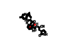 Cc1cncc(N[C@H](CC2CC2)C(=O)N2[C@@H]3CC[C@H]([C@H]2C(=O)N[C@H](C#N)C[C@H]2CCNC2=O)C(F)(F)C3)c1